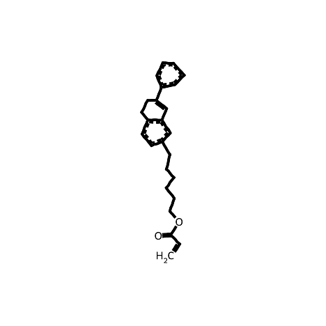 C=CC(=O)OCCCCCCc1ccc2c(c1)C=C(c1ccccc1)CC2